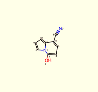 N#Cc1ccc(O)n2cccc12